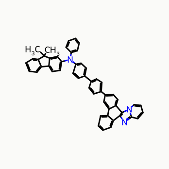 CC1(C)c2ccccc2-c2ccc(N(c3ccccc3)c3ccc(-c4ccc(-c5ccc6c(c5)c5ccccc5c5nc7ccccn7c65)cc4)cc3)cc21